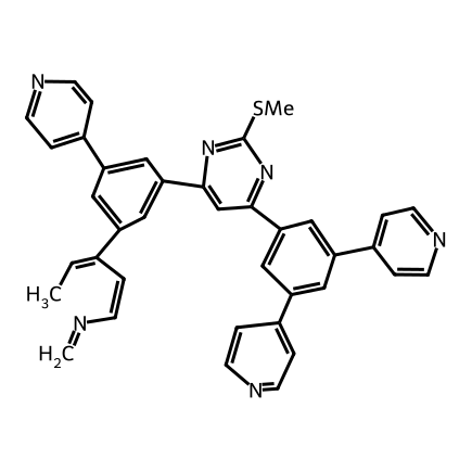 C=N/C=C\C(=C/C)c1cc(-c2ccncc2)cc(-c2cc(-c3cc(-c4ccncc4)cc(-c4ccncc4)c3)nc(SC)n2)c1